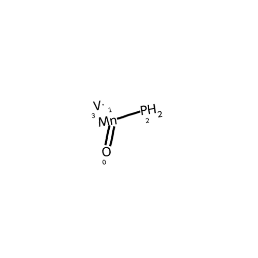 [O]=[Mn][PH2].[V]